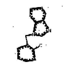 Clc1ccccc1Cn1cnc2ccccc21